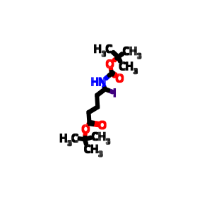 CC(C)(C)OC(=O)CCCC(I)NC(=O)OC(C)(C)C